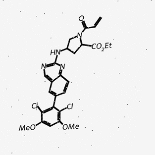 C=CC(=O)N1CC(Nc2ncc3cc(-c4c(Cl)c(OC)cc(OC)c4Cl)ccc3n2)CC1C(=O)OCC